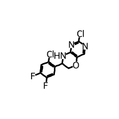 Fc1cc(Cl)c(C2COc3cnc(Cl)nc3N2)cc1F